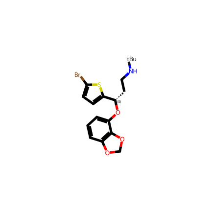 CC(C)(C)NCC[C@H](Oc1cccc2c1OCO2)c1ccc(Br)s1